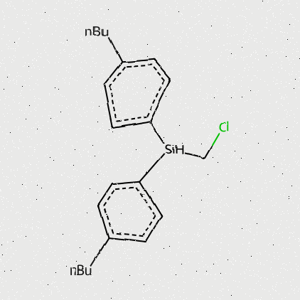 CCCCc1ccc([SiH](CCl)c2ccc(CCCC)cc2)cc1